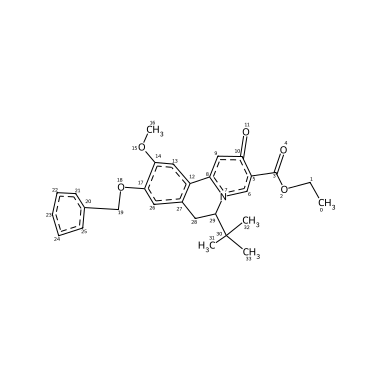 CCOC(=O)c1cn2c(cc1=O)-c1cc(OC)c(OCc3ccccc3)cc1CC2C(C)(C)C